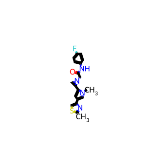 Cc1nc(-c2cc(C3=CN3CC(=O)Nc3ccc(F)cc3)n(C)c2)cs1